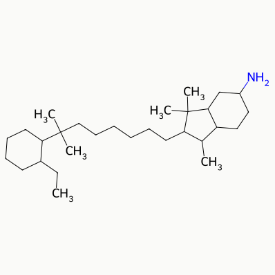 CCC1CCCCC1C(C)(C)CCCCCCC1C(C)C2CCC(N)CC2C1(C)C